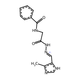 Cc1nc[nH]c1/C=N/NC(=O)CNC(=O)c1ccccc1